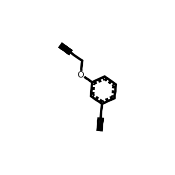 C#CCOc1cccc(C#C)c1